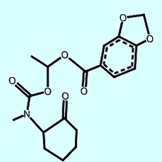 CC(OC(=O)c1ccc2c(c1)OCO2)OC(=O)N(C)C1CCCCC1=O